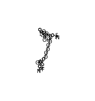 Cc1ncsc1-c1ccc(CNC(=O)[C@@H]2C[C@@H](O)CN2C(=O)[C@H](C(C)C)N2Cc3ccccc3C2=O)c(OCCOCCOCCOCCOCCOc2ccc(N3C(=S)N(c4ccc(C#N)c(C(F)(F)F)c4)C(=O)C3(C)C)cc2)c1